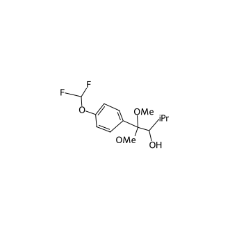 COC(OC)(c1ccc(OC(F)F)cc1)C(O)C(C)C